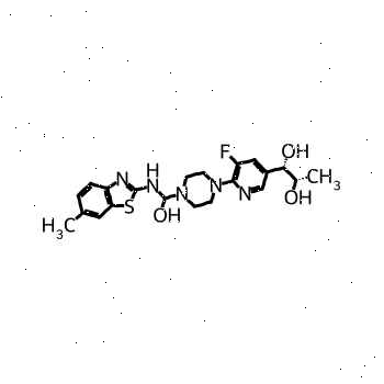 Cc1ccc2nc(NC(O)N3CCN(c4ncc([C@H](O)[C@H](C)O)cc4F)CC3)sc2c1